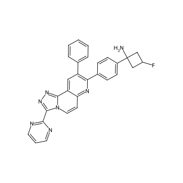 NC1(c2ccc(-c3nc4ccn5c(-c6ncccn6)nnc5c4cc3-c3ccccc3)cc2)CC(F)C1